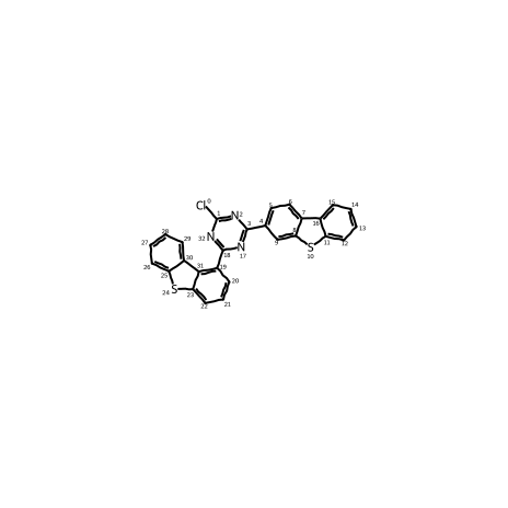 Clc1nc(-c2ccc3c(c2)sc2ccccc23)nc(-c2cccc3sc4ccccc4c23)n1